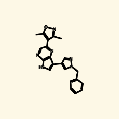 Cc1noc(C)c1-c1cnc2[nH]cc(-c3cnn(Cc4ccccc4)c3)c2n1